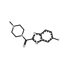 CN1CCN(C(=O)c2nc3cc(F)ccc3o2)CC1